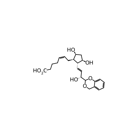 O=C(O)CCC/C=C\C[C@@H]1[C@@H](/C=C/[C@@H](O)C2OCc3ccccc3O2)[C@H](O)C[C@@H]1O